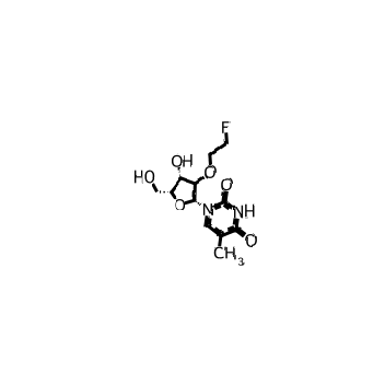 Cc1cn([C@@H]2O[C@H](CO)[C@H](O)C2OCCF)c(=O)[nH]c1=O